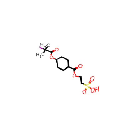 CC(C)(I)C(=O)OC1CCC(C(=O)OCCS(=O)(=O)O)CC1